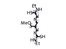 CCN/C(S)=N/N=C(/C=N/N=C(\S)NCC)COC